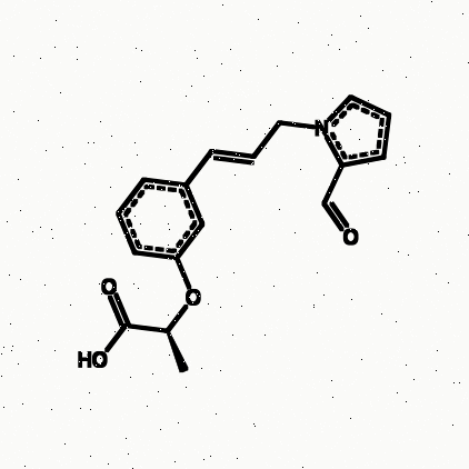 C[C@H](Oc1cccc(/C=C/Cn2cccc2C=O)c1)C(=O)O